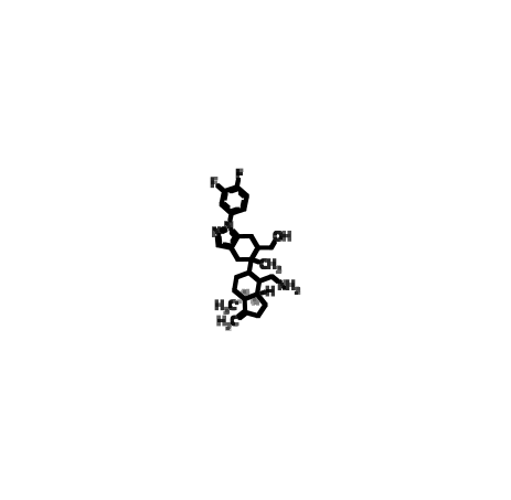 C=C1CC[C@H]2C(CN)C(C3(C)Cc4cnn(-c5ccc(F)c(F)c5)c4CC3CO)CC[C@]12C